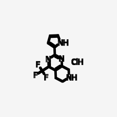 Cl.FC(F)(F)c1nc(-c2ccc[nH]2)nc2c1CCNC2